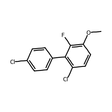 COc1ccc(Cl)c(-c2ccc(Cl)cc2)c1F